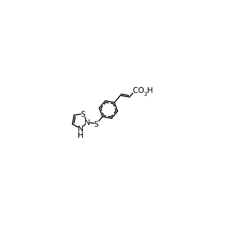 O=C(O)C=Cc1ccc(SN2NC=CS2)cc1